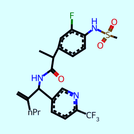 C=C(CCC)C(NC(=O)C(C)c1ccc(NS(C)(=O)=O)c(F)c1)c1ccc(C(F)(F)F)nc1